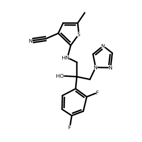 Cc1cc(C#N)c(NCC(O)(Cn2cncn2)c2ccc(F)cc2F)s1